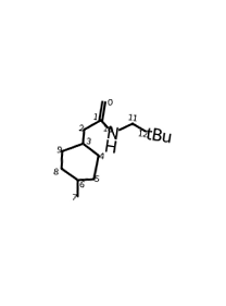 C=C(CC1CCC(C)CC1)NCC(C)(C)C